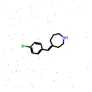 Brc1ccc(C=C2CCCNCC2)cc1